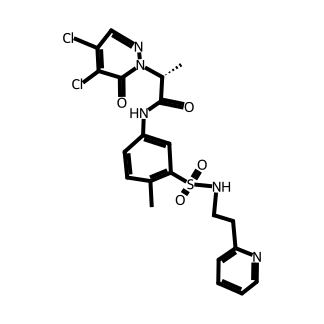 Cc1ccc(NC(=O)[C@@H](C)n2ncc(Cl)c(Cl)c2=O)cc1S(=O)(=O)NCCc1ccccn1